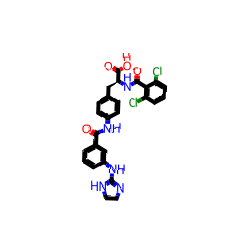 O=C(Nc1ccc(C[C@H](NC(=O)c2c(Cl)cccc2Cl)C(=O)O)cc1)c1cccc(NC2=NCCN2)c1